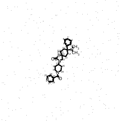 CN(C)C1(c2ccccc2)CCC2(CC1)CN(C1CCN(C(=O)c3ccncc3)CC1)C(=O)N2